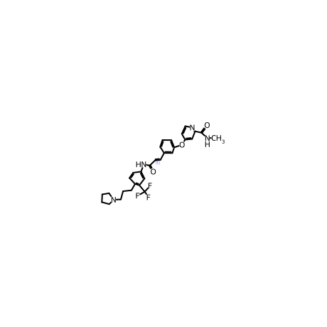 CNC(=O)c1cc(Oc2cccc(/C=C/C(=O)Nc3ccc(CCCN4CCCC4)c(C(F)(F)F)c3)c2)ccn1